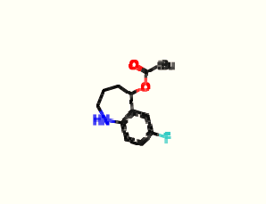 CC(C)(C)C(=O)OC1CCCNc2ccc(F)cc21